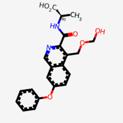 C[C@@H](NC(=O)c1ncc2cc(Oc3ccccc3)ccc2c1COCO)C(=O)O